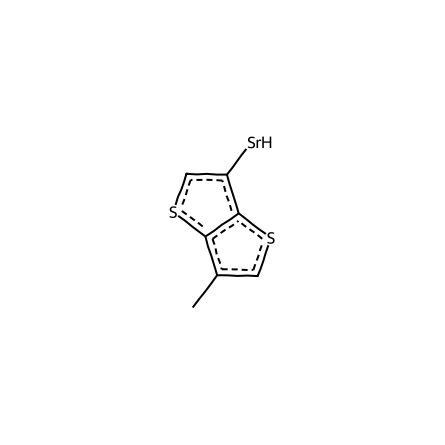 Cc1csc2[c]([SrH])csc12